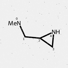 CNCC1CN1